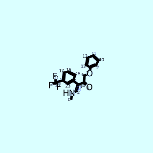 CN/C=C(/C(=O)COc1ccccc1)c1cccc(C(F)(F)F)c1